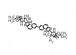 CC(C)(C)OC(=O)NC(c1nc2ccc3cc(-c4ccc5c(ccc6nc(C(NC(=O)OC(C)(C)C)C(C)(C)C)[nH]c65)c4)ccc3c2[nH]1)C(C)(C)C